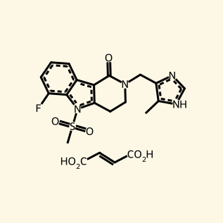 Cc1[nH]cnc1CN1CCc2c(c3cccc(F)c3n2S(C)(=O)=O)C1=O.O=C(O)C=CC(=O)O